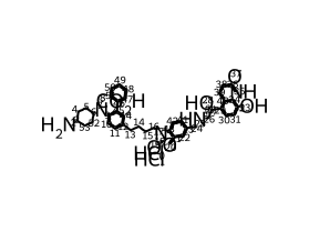 Cl.Cl.N[C@H]1CC[C@H](N(C(=O)O)c2ccc(CCCCn3c(=O)oc4cc(CNC[C@H](O)c5ccc(O)c6[nH]c(=O)ccc56)ccc43)cc2-c2ccccc2)CC1